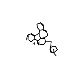 CC12C=CC(CC3CC[C@H]4C5=C3CC=C3C=CCCC3N5C3=CC=NC[C@@H]34)(CC1)CC2